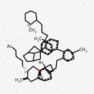 C=C(Cc1ccc(CCc2ccc(C)cc2-c2ccc(C)c(C3CC4CCC(C3)C4c3cccc(CCCC4CCCC[C@H]4C)c3)c2)cc1)[C@H](CCCCC(C)=O)CC(=O)C1(C(C)=O)CCC1